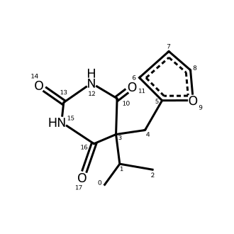 CC(C)C1(Cc2ccco2)C(=O)NC(=O)NC1=O